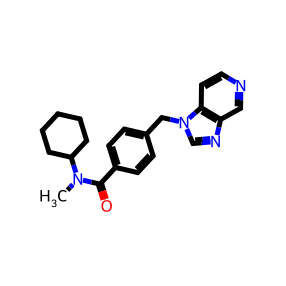 CN(C(=O)c1ccc(Cn2cnc3cnccc32)cc1)C1CCCCC1